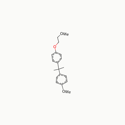 COCCOc1ccc(C(C)(C)c2ccc(OC)cc2)cc1